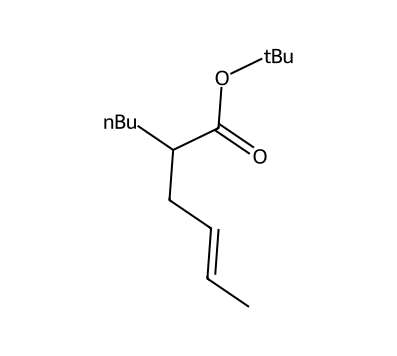 CC=CCC(CCCC)C(=O)OC(C)(C)C